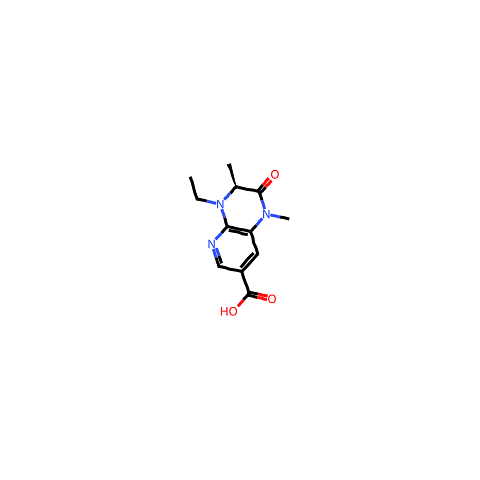 CCN1c2ncc(C(=O)O)cc2N(C)C(=O)[C@@H]1C